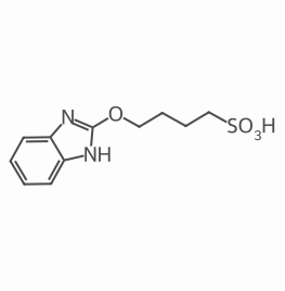 O=S(=O)(O)CCCCOc1nc2ccccc2[nH]1